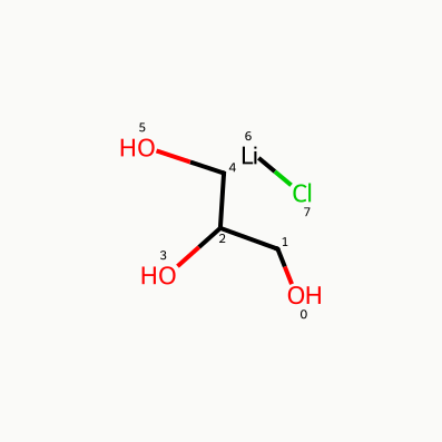 OCC(O)CO.[Li][Cl]